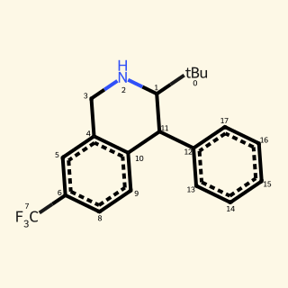 CC(C)(C)C1NCc2cc(C(F)(F)F)ccc2C1c1ccccc1